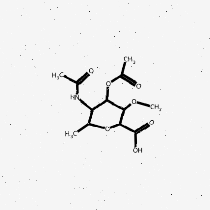 COC1C(C(=O)O)OC(C)C(NC(C)=O)C1OC(C)=O